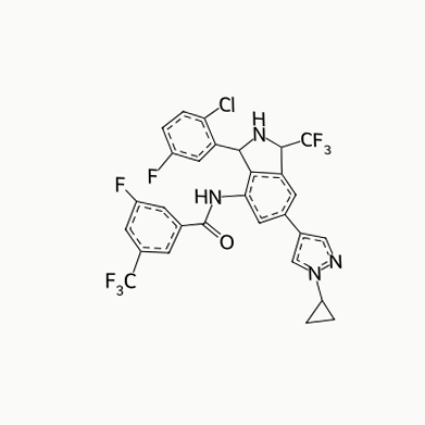 O=C(Nc1cc(-c2cnn(C3CC3)c2)cc2c1C(c1cc(F)ccc1Cl)NC2C(F)(F)F)c1cc(F)cc(C(F)(F)F)c1